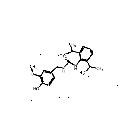 COc1cc(CNC(=O)Nc2c(C(C)C)cccc2C(C)C)ccc1O